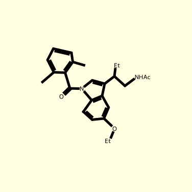 CCOc1ccc2c(c1)c(C(CC)CNC(C)=O)cn2C(=O)c1c(C)cccc1C